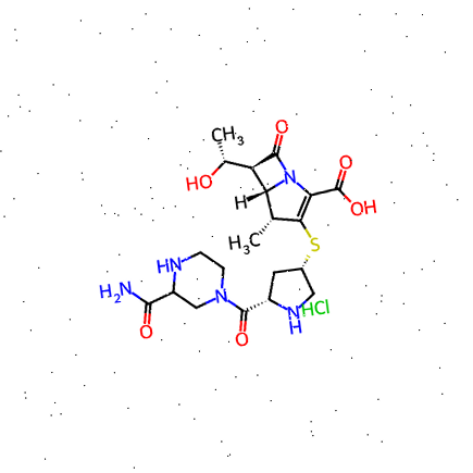 C[C@@H](O)[C@H]1C(=O)N2C(C(=O)O)=C(S[C@@H]3CN[C@H](C(=O)N4CCNC(C(N)=O)C4)C3)[C@H](C)[C@H]12.Cl